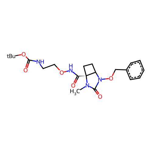 CN1C(=O)N(OCc2ccccc2)C2CC[C@@]21C(=O)NOCCNC(=O)OC(C)(C)C